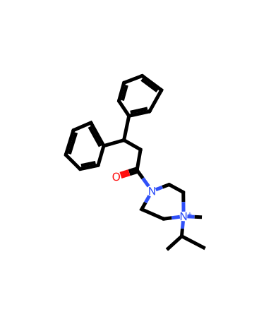 CC(C)[N+]1(C)CCN(C(=O)CC(c2ccccc2)c2ccccc2)CC1